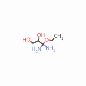 CCOC(N)(N)C(O)CO